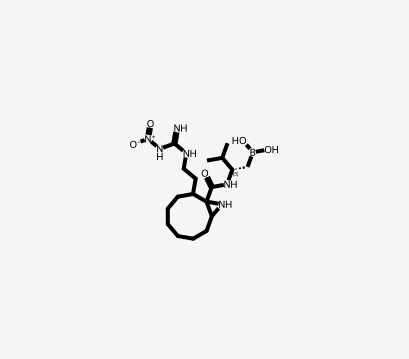 CC(C)[C@H](CB(O)O)NC(=O)C12NC1CCCCCCC2CCNC(=N)N[N+](=O)[O-]